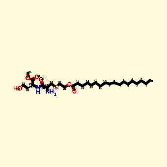 CCCCCCCCCCCCCCCCCC(=O)OCCSC[C@H](N)C(=O)N[C@@H](CCO)C(=O)OC